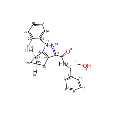 O=C(N[C@H](CO)c1ccccc1)c1nn(-c2ccccc2F)c2c1C[C@H]1C[C@@H]21